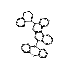 C1=C(c2cc3cc(N4c5ccccc5Oc5ccccc54)c4ccccc4c3c3ccccc23)c2ccccc2CC1